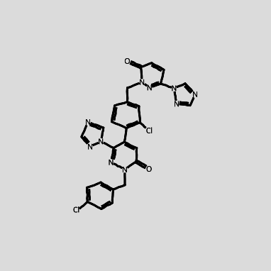 O=c1ccc(-n2cncn2)nn1Cc1ccc(-c2cc(=O)n(Cc3ccc(Cl)cc3)nc2-n2cncn2)c(Cl)c1